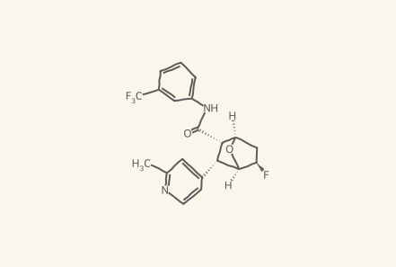 Cc1cc([C@H]2[C@H]3O[C@H](C[C@H]3F)[C@H]2C(=O)Nc2cccc(C(F)(F)F)c2)ccn1